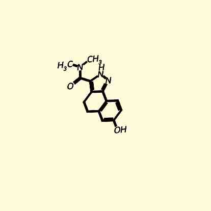 CN(C)C(=O)c1[nH]nc2c1CCc1cc(O)ccc1-2